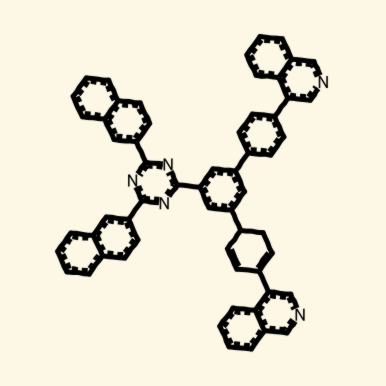 C1=CC(c2cc(-c3ccc(-c4cncc5ccccc45)cc3)cc(-c3nc(-c4ccc5ccccc5c4)nc(-c4ccc5ccccc5c4)n3)c2)CC=C1c1cncc2ccccc12